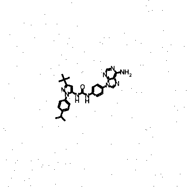 CC(C)c1ccc(-n2nc(C(C)(C)C)cc2NC(=O)Nc2ccc(-n3cnc4c(N)ncnc43)cc2)cc1